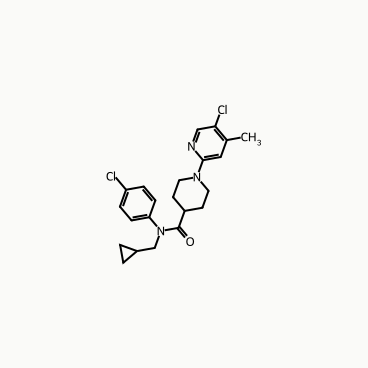 Cc1cc(N2CCC(C(=O)N(CC3CC3)c3ccc(Cl)cc3)CC2)ncc1Cl